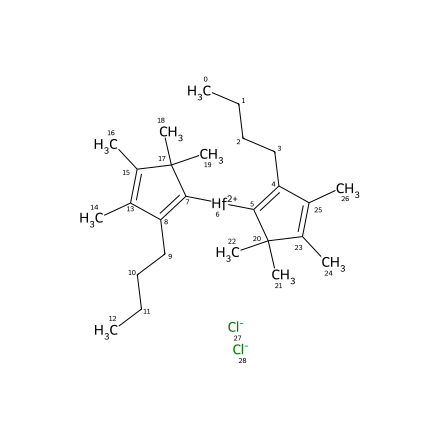 CCCCC1=[C]([Hf+2][C]2=C(CCCC)C(C)=C(C)C2(C)C)C(C)(C)C(C)=C1C.[Cl-].[Cl-]